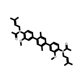 COc1cc(-c2cc(C)c(-c3ccc(N(CC=C(C)C)C(C)=O)c(OC)c3)cc2C)ccc1N(CC=C(C)C)C(C)=O